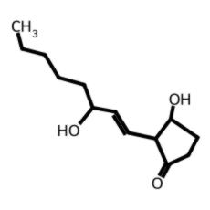 CCCCCC(O)/C=C/C1C(=O)CCC1O